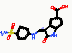 NS(=O)(=O)c1ccc(N/C=C2\C(=O)Nc3ccc(C(=O)O)cc32)cc1